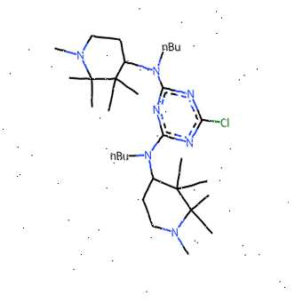 CCCCN(c1nc(Cl)nc(N(CCCC)C2CCN(C)C(C)(C)C2(C)C)n1)C1CCN(C)C(C)(C)C1(C)C